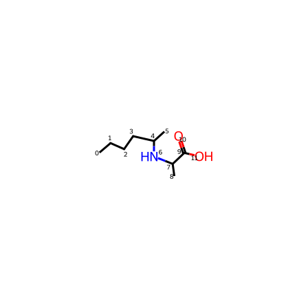 CCCCC(C)NC(C)C(=O)O